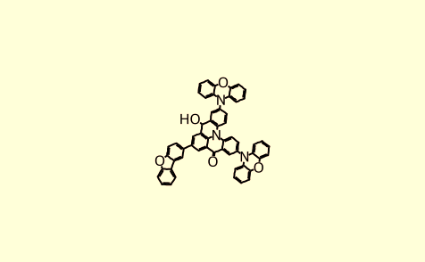 O=c1c2cc(N3c4ccccc4Oc4ccccc43)ccc2n2c3c(cc(-c4ccc5oc6ccccc6c5c4)cc13)C(O)c1cc(N3c4ccccc4Oc4ccccc43)ccc1-2